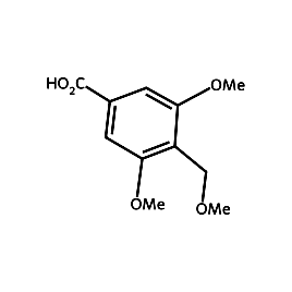 COCc1c(OC)cc(C(=O)O)cc1OC